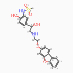 CS(=O)(=O)Nc1cc(C(O)CNCCOc2ccc3c(c2)oc2ccccc23)ccc1O